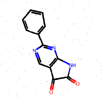 O=C1Nc2nc(-c3ccccc3)ncc2C1=O